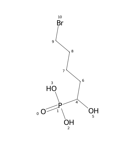 O=P(O)(O)C(O)CCCCBr